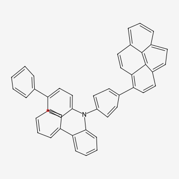 c1ccc(-c2ccc(N(c3ccc(-c4ccc5ccc6cccc7ccc4c5c67)cc3)c3ccccc3-c3ccccc3)cc2)cc1